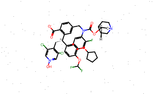 O=C([O-])c1ccc(CN(C(=O)O[C@H]2CN3CCC2CC3)c2ccccc2F)cc1[C@@H](Cc1c(Cl)c[n+](O)cc1Cl)c1ccc(OC(F)F)c(OC2CCCC2)c1